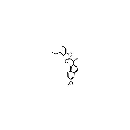 CCCC/C(=C\F)OC(=O)[C@@H](C)c1ccc2cc(OC)ccc2c1